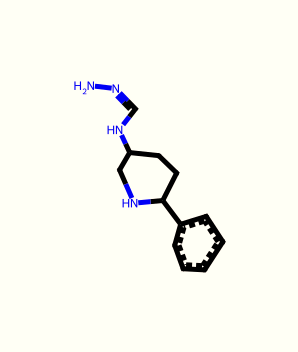 N/N=C\NC1CCC(c2ccccc2)NC1